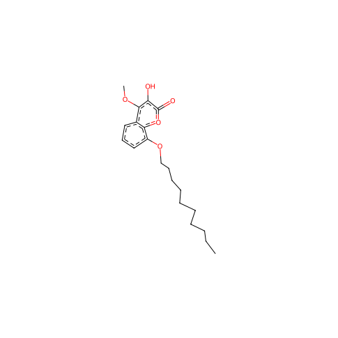 CCCCCCCCCCOc1cccc2c(OC)c(O)c(=O)oc12